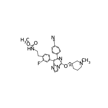 COC(=O)NCCc1ccc(-c2c(-c3ccc(C#N)cc3)nc(OC[C@@H]3CCCN(C)C3)n3ccnc23)cc1F